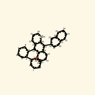 c1ccc(-c2ccccc2-c2c3ccccc3c(-c3ccc4ccccc4c3)c3ncccc23)cc1